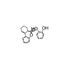 Oc1ccccc1O.[O-][P+]1=C2CCCC=C2c2ccccc2O1